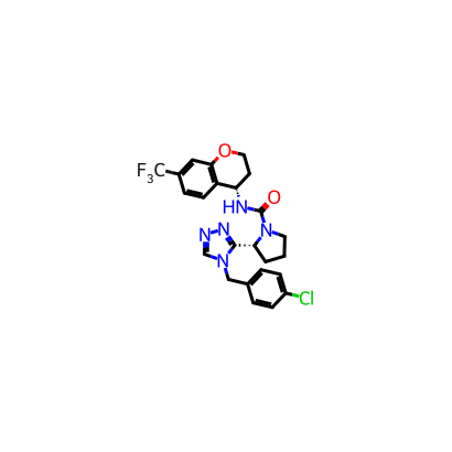 O=C(N[C@H]1CCOc2cc(C(F)(F)F)ccc21)N1CCC[C@@H]1c1nncn1Cc1ccc(Cl)cc1